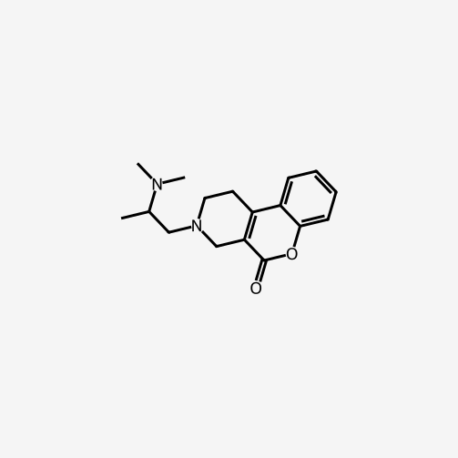 CC(CN1CCc2c(c(=O)oc3ccccc23)C1)N(C)C